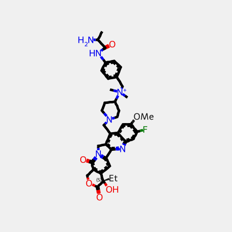 CC[C@@]1(O)C(=O)OCc2c1cc1n(c2=O)Cc2c-1nc1cc(F)c(OC)cc1c2CN1CCC([N+](C)(C)Cc2ccc(NC(=O)C(C)N)cc2)CC1